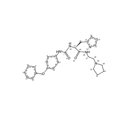 O=C(Nc1ccc(Oc2ccccc2)cc1)N[C@@H](Cc1cscn1)C(=O)NCCN1CCCC1